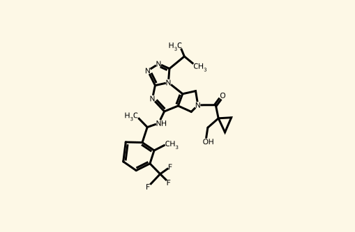 Cc1c(C(C)Nc2nc3nnc(C(C)C)n3c3c2CN(C(=O)C2(CO)CC2)C3)cccc1C(F)(F)F